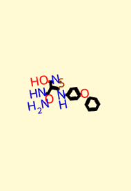 N=C(ON)c1c(O)nsc1Nc1ccc(Oc2ccccc2)cc1